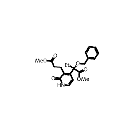 CCC(OCc1ccccc1)(C(=O)OC)c1cc[nH]c(=O)c1CCC(=O)OC